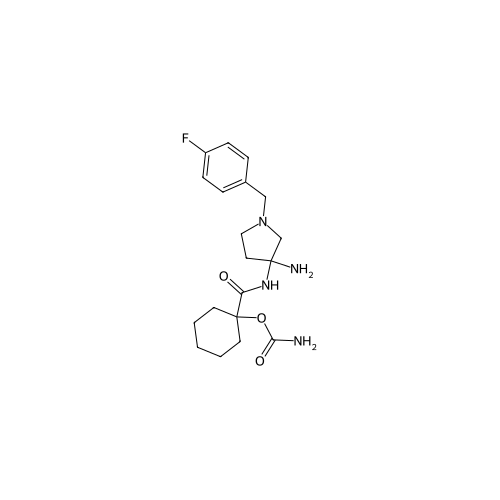 NC(=O)OC1(C(=O)NC2(N)CCN(Cc3ccc(F)cc3)C2)CCCCC1